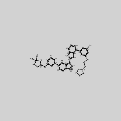 Fc1cc(OCCN2CCCC2)cc(-c2nccc3[nH]c(-c4n[nH]c5ccc(-c6cncc(CN7CCC(F)(F)C7)c6)nc45)cc23)c1